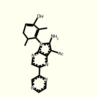 CC(=O)c1c(N)n(C2=C(C)C(O)=CCC2C)c2ncc(-c3cnccn3)nc12